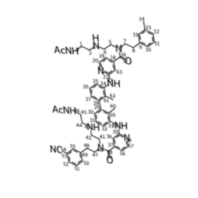 CC(=O)NCCNCCN(CCc1cccc(C)c1)C(=O)c1ccnc(Nc2cccc(-c3cccc(Nc4cc(C(=O)N(CCNCCNC(C)=O)CCc5cccc(C#N)c5)ccn4)c3C)c2C)c1